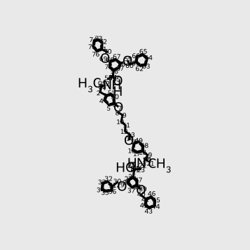 C[C@H](Cc1ccc(OCCCCCCOc2ccc(C[C@@H](C)NC[C@H](O)c3cc(OCc4ccccc4)cc(OCc4ccccc4)c3)cc2)cc1)NC[C@H](O)c1cc(OCc2ccccc2)cc(OCc2ccccc2)c1